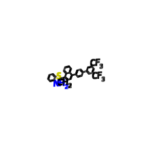 C=C(Sc1ccccc1N)c1ccc(-c2ccc(-c3cc(C(F)(F)F)cc(C(F)(F)F)c3)cc2)c2ccccc12